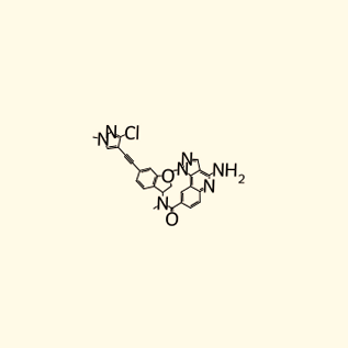 CN(C(=O)c1ccc2nc(N)c3cnn(C)c3c2c1)C1COc2cc(C#Cc3cn(C)nc3Cl)ccc21